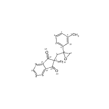 CCC1(CC2(c3cccc(C)c3)CO2)C(=O)c2ccccc2C1=O